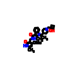 COc1cc(C)[nH]c(=O)c1CNC(=O)c1c(C)n([C@H](C)C2CCN(CC3(O)CCC3)CC2)c2ccccc12